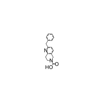 O=C(O)N1CCc2nc(Cc3ccccc3)ccc2C1